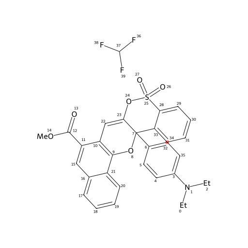 CCN(CC)c1ccc(C23Oc4c(c(C(=O)OC)cc5ccccc45)C=C2OS(=O)(=O)c2ccccc23)cc1.FC(F)F